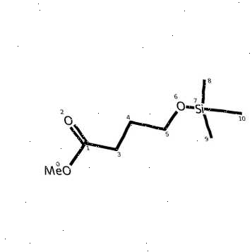 COC(=O)CCCO[Si](C)(C)C